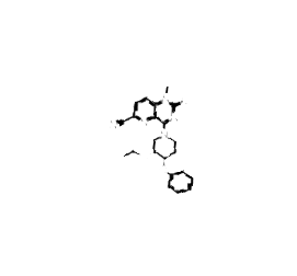 CCO[C@@H]1CN(c2nc(=O)n(C)c3ccc(C#N)nc23)CC[C@H]1Oc1ccccc1